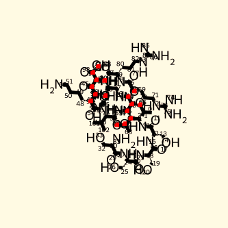 CC(C)C[C@H](NC(=O)CNC(=O)[C@H](CO)NC(=O)[C@H](CO)NC(=O)[C@H](CO)NC(=O)[C@@H](N)CO)C(=O)NCC(=O)N[C@@H](CS)C(=O)N[C@@H](CCCCN)C(=O)N[C@H](C(=O)N[C@@H](CC(C)C)C(=O)N[C@@H](CCCNC(=N)N)C(=O)N[C@@H](CCCNC(=N)N)C(=O)N[C@@H](Cc1c[nH]cn1)C(=O)O)C(C)C